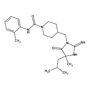 Cc1ccccc1NC(=O)N1CCC(CN2C(=N)NC(C)(CC(C)C)C2=O)CC1